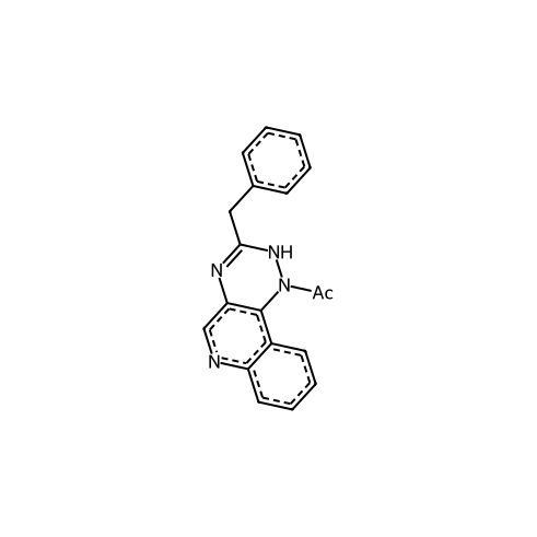 CC(=O)N1NC(Cc2ccccc2)=Nc2cnc3ccccc3c21